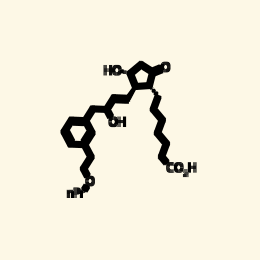 CCCOCCc1cccc(CC(O)/C=C/[C@H]2[C@H](O)CC(=O)[C@@H]2CCCCCCC(=O)O)c1